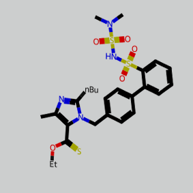 CCCCc1nc(C)c(C(=S)OCC)n1Cc1ccc(-c2ccccc2S(=O)(=O)NS(=O)(=O)N(C)C)cc1